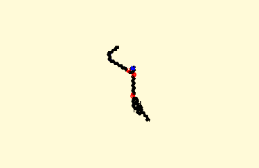 CCCCC/C=C\C/C=C\CCCCCCCCOCC(CN(C)C)OCCCCCCCCO[C@H]1CC[C@@]2(C)C(=CC[C@@H]3[C@@H]2CC[C@]2(C)C(CCCC(C)C)CC[C@@H]32)C1